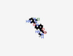 C[C@@H]1CNc2c(oc3ccc4nc(Oc5nc(Cl)nc6c5CNCC6)ccc4c23)C(=O)N1